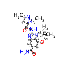 CCn1nc(C)cc1C(=O)Nc1nc2cc(C(N)=O)cc3c2n1CC(C)(C)CO3